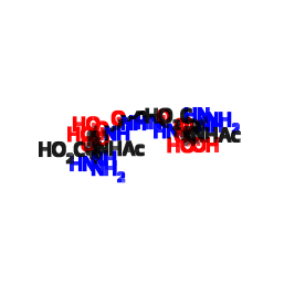 CC(=O)N[C@@H]1[C@@H](NC(=N)N)C=C(C(=O)O)O[C@H]1C(OC(=O)NCCC(=O)NCc1ccc(CNC(=O)CCNC(=O)O[C@@H]([C@@H]2OC(C(=O)O)=C[C@H](NC(=N)N)[C@H]2NC(C)=O)[C@H](O)CO)cc1)[C@H](O)CO